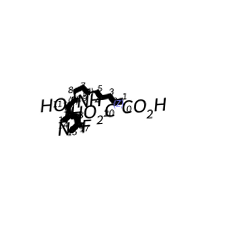 O=C(O)/C=C(/CCC[C@@H]1CC[C@H]([C@H](O)c2cncc(F)c2)N1)C(=O)O